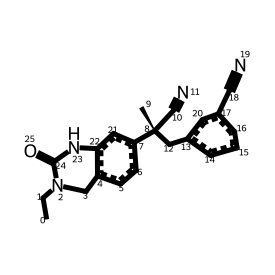 CCN1Cc2ccc([C@](C)(C#N)Cc3cccc(C#N)c3)cc2NC1=O